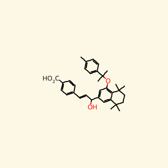 Cc1ccc(C(C)(C)Oc2cc(C(O)C=Cc3ccc(C(=O)O)cc3)cc3c2C(C)(C)CCC3(C)C)cc1